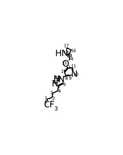 FC(F)(F)CCCCc1cn(-c2cncc(OC[C@@H]3CCN3)c2)nn1